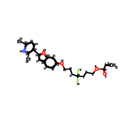 C=CC(=O)OCCCC(F)(F)CCCOc1ccc2cc(-c3ccc(CC)nc3CC)oc2c1